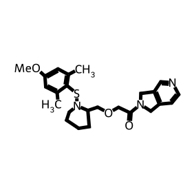 COc1cc(C)c(SN2CCCCC2COCC(=O)N2Cc3ccncc3C2)c(C)c1